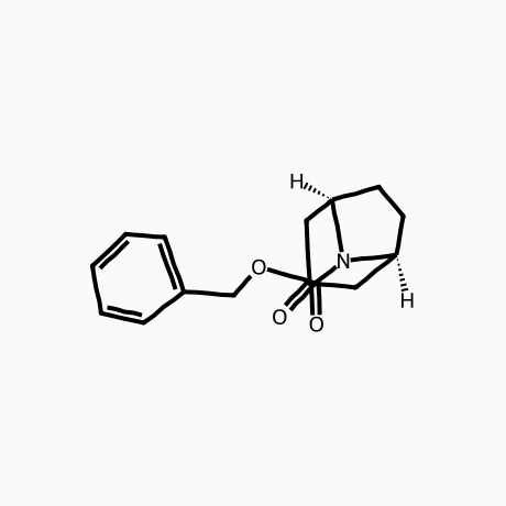 O=C1C[C@H]2CC[C@@H](C1)N2C(=O)OCc1ccccc1